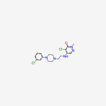 Cn1ncc(NCCN2CCN(c3cccc(Cl)c3)CC2)c(Cl)c1=O